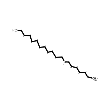 [CH2]CCCCCCCCCCCOCCCCCC[CH2]